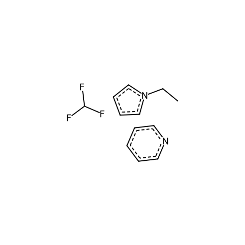 CCn1cccc1.FC(F)F.c1ccncc1